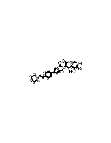 O=C(O)C(Cc1nc[nH]c(=O)c1O)N1Cc2cc(-c3ccc(CCN4CCOCC4)cc3)cn2C1=O